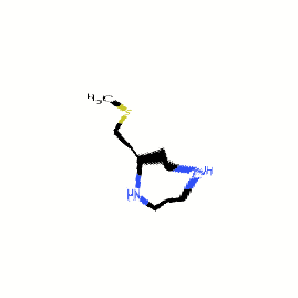 CSC[C@H]1CNCCN1